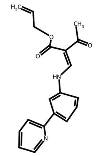 C=CCOC(=O)C(=CNc1cccc(-c2ccccn2)c1)C(C)=O